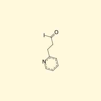 O=C(I)CCc1ccccn1